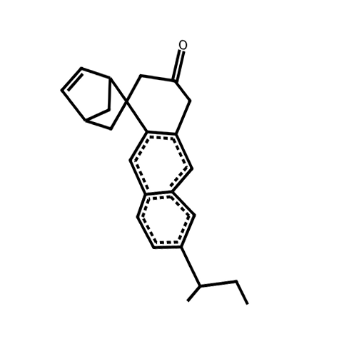 CCC(C)c1ccc2cc3c(cc2c1)CC(=O)CC31CC2C=CC1C2